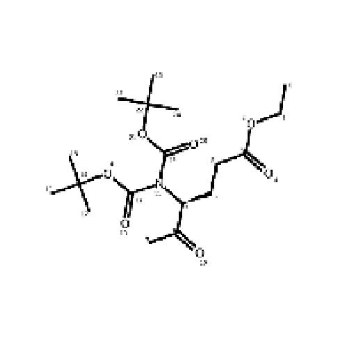 CCOC(=O)CC[C@@H](C(C)=O)N(C(=O)OC(C)(C)C)C(=O)OC(C)(C)C